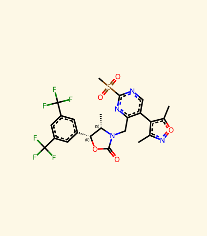 Cc1noc(C)c1-c1cnc(S(C)(=O)=O)nc1CN1C(=O)O[C@H](c2cc(C(F)(F)F)cc(C(F)(F)F)c2)[C@@H]1C